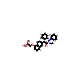 CCN(C(=O)CC1CCc2c(cccc2OCC(=O)O)C1)N(c1ccccc1)c1ccccc1